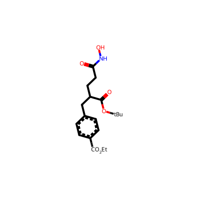 CCOC(=O)c1ccc(CC(CCC(=O)NO)C(=O)OC(C)(C)C)cc1